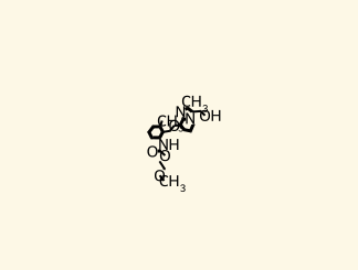 COCCOC(=O)Nc1cccc(C)c1COc1cccn2c(CO)c(C)nc12